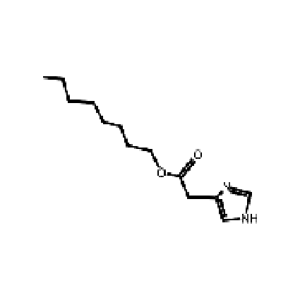 CCCCCCCCOC(=O)Cc1c[nH]cn1